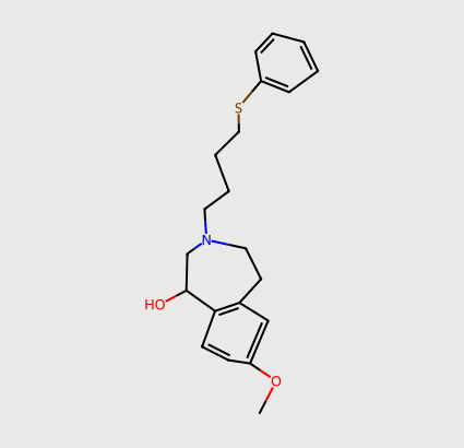 COc1ccc2c(c1)CCN(CCCCSc1ccccc1)CC2O